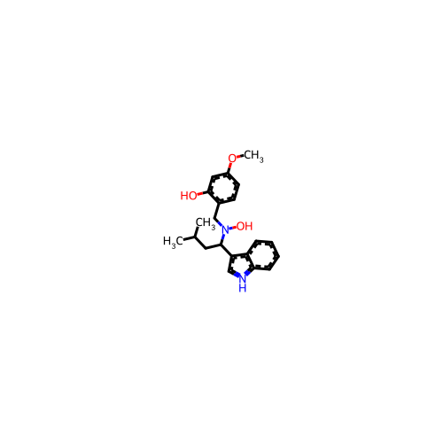 COc1ccc(CN(O)C(CC(C)C)c2c[nH]c3ccccc23)c(O)c1